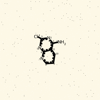 Nc1nc(Cl)nc2ncccc12